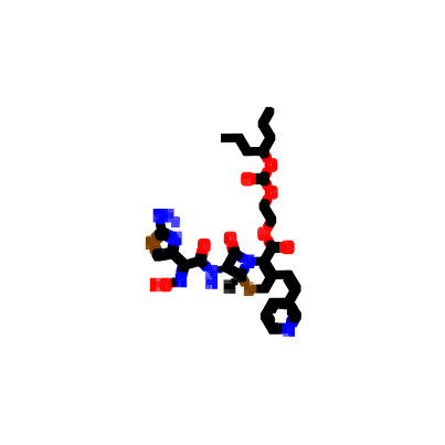 CCCC(CCC)OC(=O)OCCOC(=O)C1=C(/C=C\c2cccnc2)CS[C@H]2[C@H](NC(=O)C(=NO)c3csc(N)n3)C(=O)N12